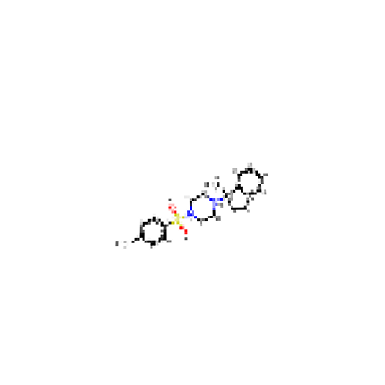 Cc1ccc(S(=O)(=O)N2CCN(C3(C(=O)O)CCc4ccccc43)CC2)cc1